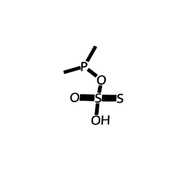 CP(C)OS(=O)(O)=S